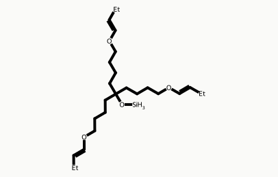 CCC=COCCCCC(CCCCOC=CCC)(CCCCOC=CCC)O[SiH3]